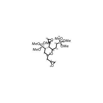 CO[Si](CCC(CC1CO1)OC(CC[Si](OC)(OC)OC)CC1CO1)(OC)OC